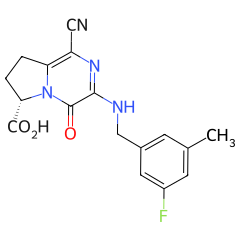 Cc1cc(F)cc(CNc2nc(C#N)c3n(c2=O)[C@H](C(=O)O)CC3)c1